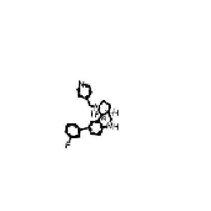 Fc1cccc(-c2ccc3c(c2)[C@@H]2[C@@H](CCN2Cc2ccncc2)CN3)c1